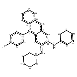 Fc1ccc(-n2c3c/c(=N\C4CCOCC4)c(NC4=CN=CCC4)cc-3nc3ccccc32)cc1